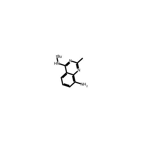 Cc1nc(NC(C)(C)C)c2cccc(N)c2n1